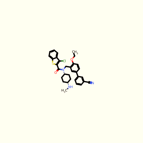 CCOc1ccc(-c2cccc(C#N)c2)cc1CN(C(=O)c1sc2ccccc2c1Cl)[C@H]1CC[C@@H](NC)CC1